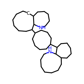 C1CCCNC2C(CCC1)CCCCCC2C1CCCCC(C2CCCCCCCC3CCCCCNC32)CCC1